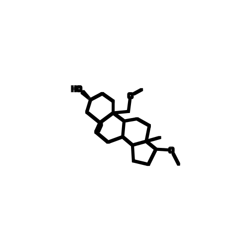 COCC12CC[C@H](O)CC1=CCC1C2CCC2(C)C(OC)CCC12